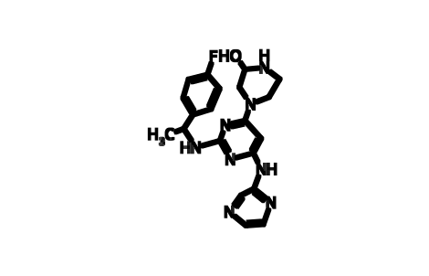 CC(Nc1nc(Nc2cnccn2)cc(N2CCNC(O)C2)n1)c1ccc(F)cc1